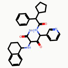 NC(=O)C(NC1CCCc2ccccc21)C(=O)C(NC(=O)C(c1ccccc1)C1CCCC1)c1cccnc1